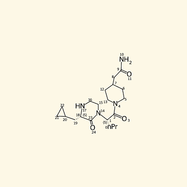 CCC[C@@H](C(=O)N1CCC(CC(N)=O)CC1)N1CCN[C@@H](CC2CC2)C1=O